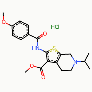 COC(=O)c1c(NC(=O)c2ccc(OC)cc2)sc2c1CCN(C(C)C)C2.Cl